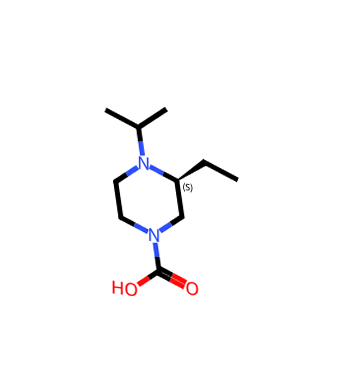 CC[C@H]1CN(C(=O)O)CCN1C(C)C